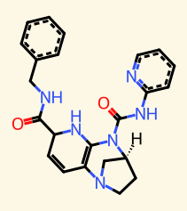 O=C(NCc1ccccc1)C1C=CC2=C(N1)N(C(=O)Nc1ccccn1)[C@H]1CCN2C1